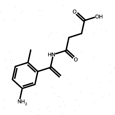 C=C(NC(=O)CCC(=O)O)c1cc(N)ccc1C